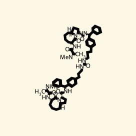 CN[C@@H](C)C(=O)N[C@H]1CCCC[C@H]2CC[C@@H](C(=O)N[C@@H](c3ccccc3)c3ccc(CCCNC(=O)NCCCc4ccc([C@@H](NC(=O)[C@@H]5CC[C@@H]6CCCC[C@H](NC(=O)[C@@H](C)NC)C(=O)N65)c5ccccc5)cc4)cc3)N2C1=O